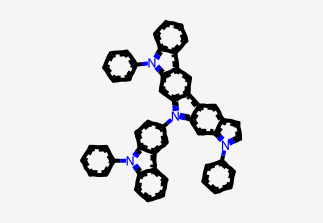 c1ccc(-n2ccc3cc4c5cc6c7ccccc7n(-c7ccccc7)c6cc5n(-c5ccc6c(c5)c5ccccc5n6-c5ccccc5)c4cc32)cc1